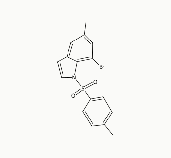 Cc1ccc(S(=O)(=O)n2ccc3cc(C)cc(Br)c32)cc1